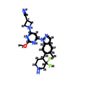 COc1nc(N2CC(C#N)C2)cc(-n2ncc3cc(C)c(C4CCNCC4(F)F)cc32)n1